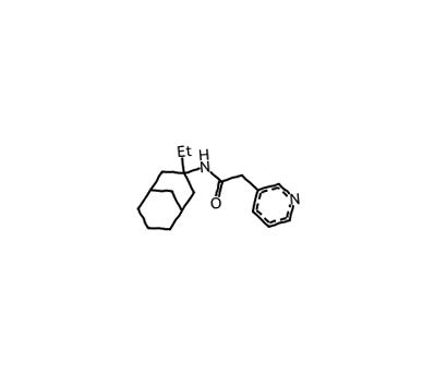 CCC1(NC(=O)Cc2cccnc2)CC2CCCC(C2)C1